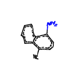 N#Cc1ccc(N)c2ccccc12